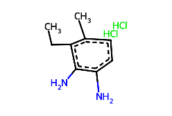 CCc1c(C)ccc(N)c1N.Cl.Cl